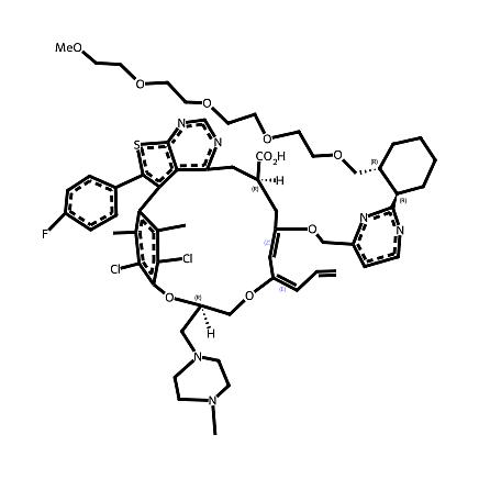 C=C/C=C1\C=C(/OCc2ccnc([C@@H]3CCCC[C@H]3COCCOCCOCCOCCOC)n2)C[C@H](C(=O)O)Cc2ncnc3sc(-c4ccc(F)cc4)c(c23)-c2c(C)c(Cl)c(c(Cl)c2C)O[C@H](CN2CCN(C)CC2)CO1